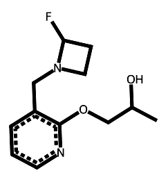 CC(O)COc1ncccc1CN1CCC1F